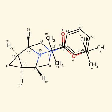 CC(C)(C)OC(=O)N1C[C@@H]2[C@H]3C[C@H]3[C@H](C1)N2C(C)(C)c1ccccc1